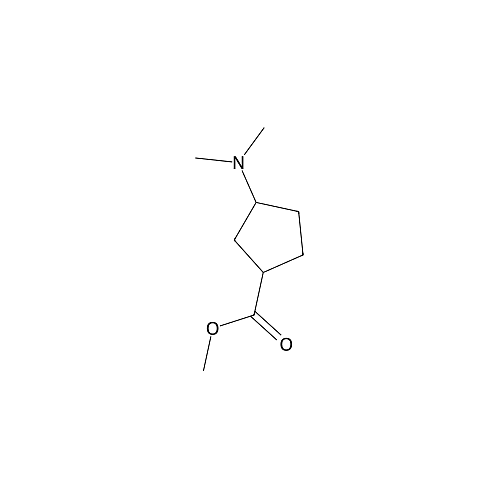 COC(=O)C1CCC(N(C)C)C1